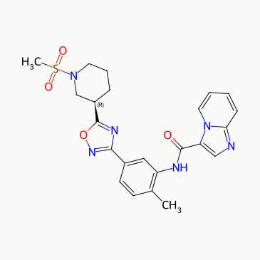 Cc1ccc(-c2noc([C@@H]3CCCN(S(C)(=O)=O)C3)n2)cc1NC(=O)c1cnc2ccccn12